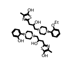 CCOc1ccccc1N1CCN(CC(O)Cc2nc(C)c(O)s2)CC1.Cc1nc(CC(O)CN2CCN(c3ccccc3O)CC2)sc1O